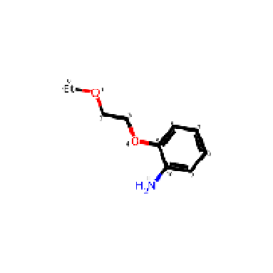 C[CH]OCCOc1ccccc1N